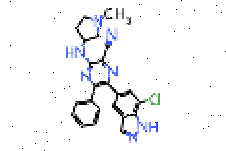 CN1CCC(Nc2nc(-c3ccccc3)c(-c3cc(Cl)c4[nH]ncc4c3)nc2C#N)C1